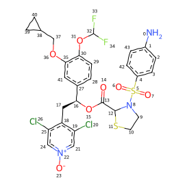 Nc1ccc(S(=O)(=O)N2CCSC2C(=O)O[C@@H](Cc2c(Cl)c[n+]([O-])cc2Cl)c2ccc(OC(F)F)c(OCC3CC3)c2)cc1